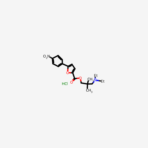 CCN(CC)CC(C)(C)COC(=O)c1ccc(-c2ccc([N+](=O)[O-])cc2)o1.Cl